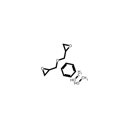 C(OCC1CO1)C1CO1.CO.CO.c1ccccc1